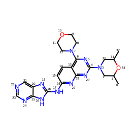 CC1CN(c2nc(N3CCOCC3)c3ccc(Nc4nc5cncnc5[nH]4)nc3n2)CC(C)O1